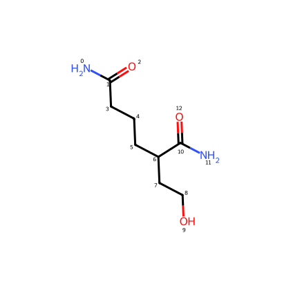 NC(=O)CCCC(CCO)C(N)=O